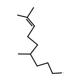 [CH2]CCCC(C)CCC=C(C)C